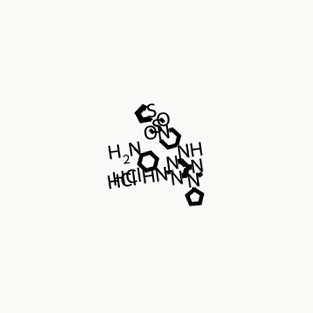 Cl.Cl.N[C@H]1CC[C@H](Nc2nc(NC3CCN(S(=O)(=O)c4cccs4)CC3)c3ncn(C4CCCC4)c3n2)CC1